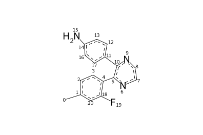 Cc1ccc(-c2nccnc2-c2ccc(N)cc2)c(F)c1